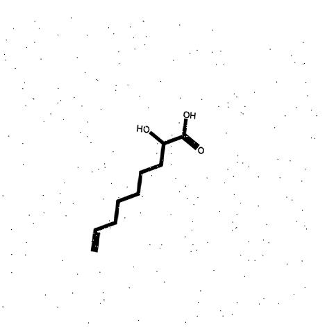 C=CCCCCCC(O)C(=O)O